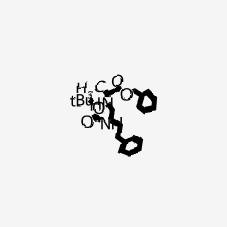 CC(NCC(CCc1ccccc1)NC(=O)OC(C)(C)C)C(=O)OCc1ccccc1